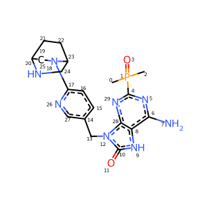 CP(C)(=O)c1nc(N)c2[nH]c(=O)n(Cc3ccc(N4CC5CCC4CN5)nc3)c2n1